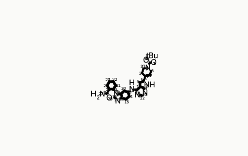 CC(C)(C)OC(=O)N1CC=C(c2cc3c(Nc4ccc5ncn(-c6ccccc6C(N)=O)c5c4)ncnc3[nH]2)CC1